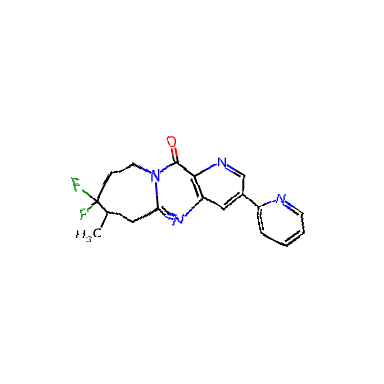 CC1Cc2nc3cc(-c4ccccn4)cnc3c(=O)n2CCC1(F)F